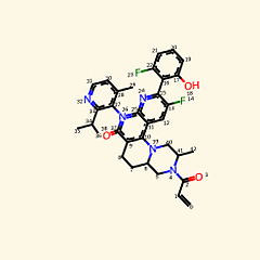 C=CC(=O)N1CC2CCc3c(c4cc(F)c(-c5c(O)cccc5F)nc4n(-c4c(C)ccnc4C(C)C)c3=O)N2CC1C